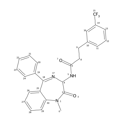 CN1C(=O)C(NC(=O)CCc2cccc(C(F)(F)F)c2)N=C(c2ccccc2)c2ccccc21